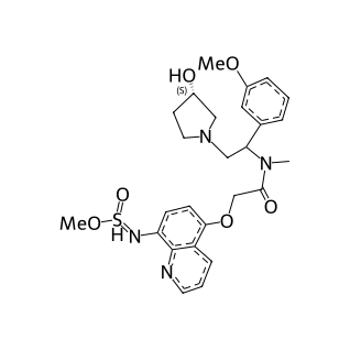 COc1cccc(C(CN2CC[C@H](O)C2)N(C)C(=O)COc2ccc(N=[SH](=O)OC)c3ncccc23)c1